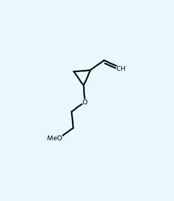 [CH]=CC1CC1OCCOC